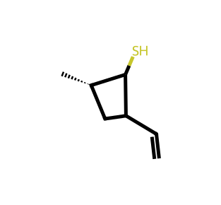 C=CC1C[C@H](C)C1S